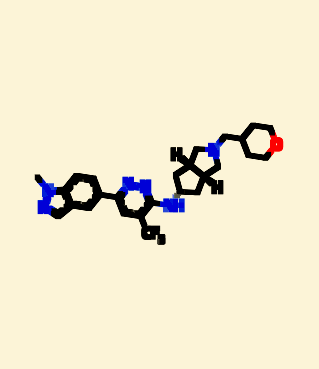 Cn1ncc2cc(-c3cc(C(F)(F)F)c(N[C@@H]4C[C@@H]5CN(CC6CCOCC6)C[C@@H]5C4)nn3)ccc21